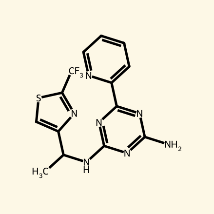 CC(Nc1nc(N)nc(-c2ccccn2)n1)c1csc(C(F)(F)F)n1